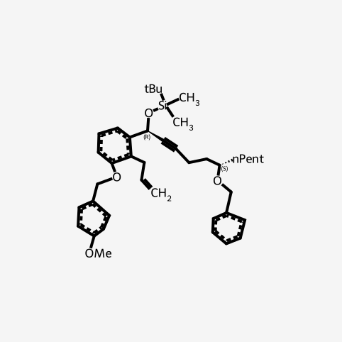 C=CCc1c(OCc2ccc(OC)cc2)cccc1[C@H](C#CCC[C@H](CCCCC)OCc1ccccc1)O[Si](C)(C)C(C)(C)C